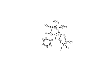 CO[C@@H]([C@@H]1CCCN1)[C@@H](C)C(=O)OCc1ccccc1.O=C(O)C(F)(F)F